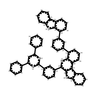 c1ccc(-c2cc(-c3ccccc3)nc(-c3cccc(-c4nc5c(-c6cccc(-c7cccc8c7sc7ccccc78)c6)cccc5c5c4sc4ccccc45)c3)n2)cc1